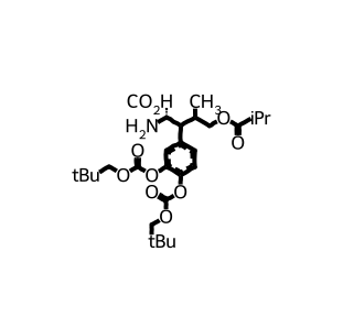 CC(C)C(=O)OCC(C)C(c1ccc(OC(=O)OCC(C)(C)C)c(OC(=O)OCC(C)(C)C)c1)[C@H](N)C(=O)O